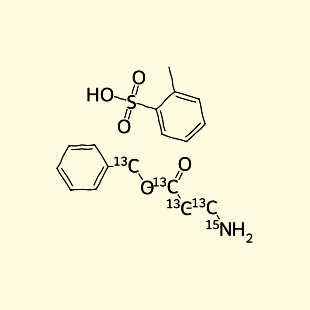 Cc1ccccc1S(=O)(=O)O.[15NH2][13CH2][13CH2][13C](=O)O[13CH2]c1ccccc1